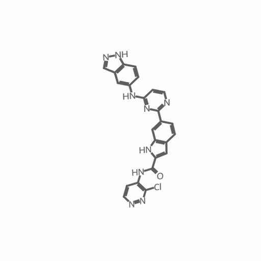 O=C(Nc1ccnnc1Cl)c1cc2ccc(-c3nccc(Nc4ccc5[nH]ncc5c4)n3)cc2[nH]1